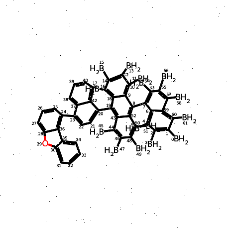 Bc1c(B)c(B)c2c(-c3c4c(B)c(B)c(B)c(B)c4c(-c4ccc(-c5cccc6oc7ccccc7c56)c5ccccc45)c4c(B)c(B)c(B)c(B)c34)c(B)c(B)c(B)c2c1B